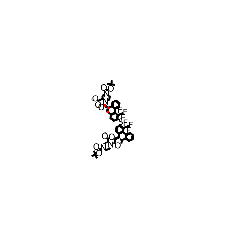 COC(=O)C1CN(C(=O)OC(C)(C)C)CCN1C(=O)/C=C/c1ccc(Sc2ccc(/C=C/C(=O)N3CCN(C(=O)OC(C)(C)C)CC3C(=O)OC)c(-c3ccccc3C(C)C)c2C(F)(F)F)c(C(F)(F)F)c1-c1ccccc1C(C)C